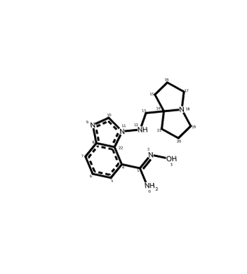 NC(=NO)c1cccc2ncn(NCC34CCCN3CCC4)c12